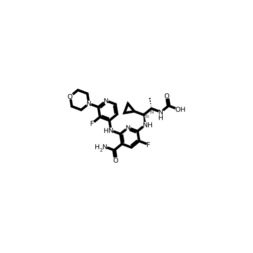 C[C@H](NC(=O)O)[C@@H](Nc1nc(Nc2ccnc(N3CCOCC3)c2F)c(C(N)=O)cc1F)C1CC1